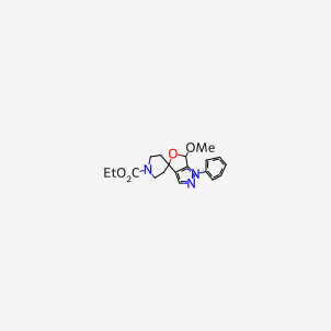 CCOC(=O)N1CCC2(CC1)OC(OC)c1c2cnn1-c1ccccc1